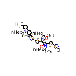 CCCCCCCCC(CCCCCC)CN1C(=O)C2=C(c3ccc(-c4cnc(-c5ccc6c7ccc(C)cc7n(C(CCCCCC)CCCCCC)c6c5)s4)s3)N(CC(CCCCCC)CCCCCCCC)C(=O)C2=C1c1ccc(-c2cnc(C)s2)s1